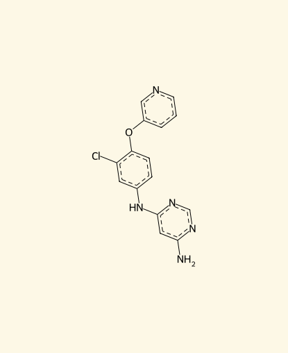 Nc1cc(Nc2ccc(Oc3cccnc3)c(Cl)c2)ncn1